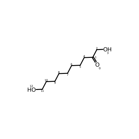 O=C(CO)CCCCCCCCO